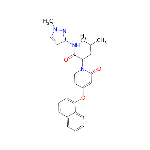 CC(C)CC(C(=O)Nc1ccn(C)n1)n1ccc(Oc2cccc3ccccc23)cc1=O